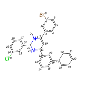 CN1C(c2cccc(Br)c2)=CC(c2cccc(C3C=CC=CC3)c2)=NC1c1cccc(Cl)c1